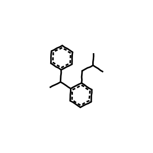 CC(C)Cc1ccccc1C(C)c1ccccc1